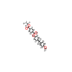 CCC(C)(C)OC(=O)c1ccc(C(=O)Oc2ccc(C(C)(C)c3ccc(OC)cc3)cc2)cc1